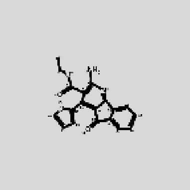 CCOC(=O)c1c(N)nc2c(c1-c1ccco1)C(=O)c1ccccc1-2